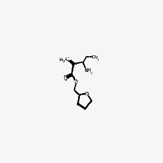 C=C(C(=O)OCC1CCCO1)C(N)CC